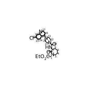 CCOC(=O)CN1CCCC[C@H](NC(=O)N2CCN(c3ccnc4cc(Cl)ccc34)CC2)C1=O